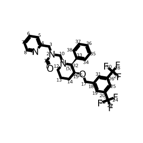 O=CN(Cc1ccccn1)CN1CCC[C@H](OCc2cc(C(F)(F)F)cc(C(F)(F)F)c2)[C@@H]1c1ccccc1